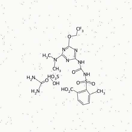 Cc1cccc(C(=O)O)c1S(=O)(=O)NC(=O)Nc1nc(OCC(F)(F)F)nc(N(C)C)n1.NC(N)=O.O=S(=O)(O)O